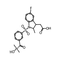 CC1C(CC(=O)O)c2cc(F)ccc2N1S(=O)(=O)c1cccc(C(=O)[N+](C)(C)O)c1